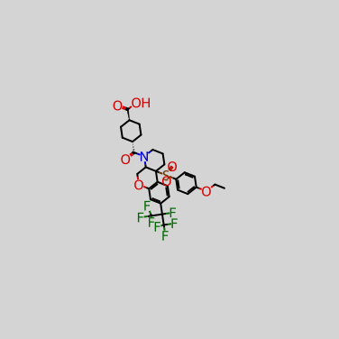 CCOc1ccc(S(=O)(=O)C23CCCN(C(=O)[C@H]4CC[C@H](C(=O)O)CC4)C2COc2cc(C(F)(C(F)(F)F)C(F)(F)F)ccc23)cc1